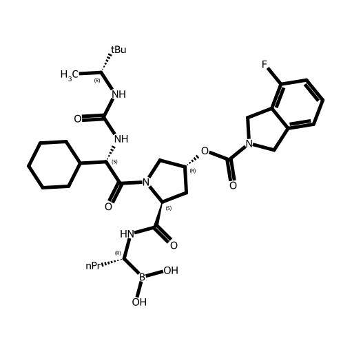 CCC[C@H](NC(=O)[C@@H]1C[C@@H](OC(=O)N2Cc3cccc(F)c3C2)CN1C(=O)[C@@H](NC(=O)N[C@H](C)C(C)(C)C)C1CCCCC1)B(O)O